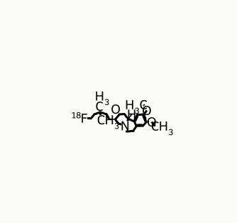 COc1cc2c(cc1OC)[C@H]1CC(=O)[C@H](CCC(C)(C)CC[18F])CN1CC2